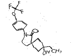 CC[C@]1(O)CC[C@]2(CCN(c3ccc(OC(F)(F)F)cc3)C2=O)CC1